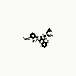 CCCN(CC1CC1)c1ncc(C(=O)N(Cc2cccc(OC)c2)C(C)C)c(-c2ccccc2F)n1